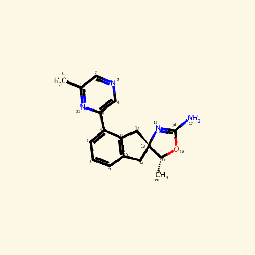 Cc1cncc(-c2cccc3c2C[C@@]2(C3)N=C(N)O[C@@H]2C)n1